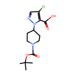 CC(C)(C)OC(=O)N1CCC(n2ncc(Cl)c2C(=O)O)CC1